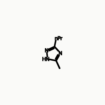 CCCc1n[nH]c(C)n1